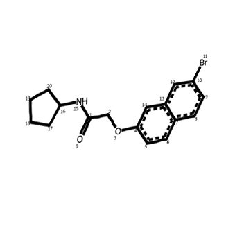 O=C(COc1ccc2ccc(Br)cc2c1)NC1CCCC1